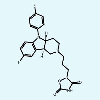 O=c1[nH]c(=O)n(CCCN2CC[C@@H]3[C@@H](C2)c2cc(F)ccc2N3c2ccc(F)cc2)o1